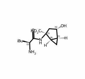 CCC(C)[C@H](N)C(=O)N[C@@]1(C(=O)O)C[C@H](O)[C@H]2C[C@H]21